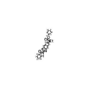 CCN(C(=O)OCc1ccccc1)[C@@H]1Cc2cc3nc(NC(=O)c4ccccc4)sc3cc2C1